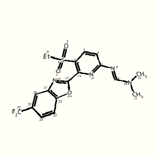 CCS(=O)(=O)c1ccc(N=CN(C)C)nc1-c1nc2cc(C(F)(F)F)ccc2o1